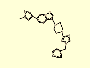 Cn1cc(-c2ccc3c(N4CCN(c5ncn(Cc6ccncc6)n5)CC4)cnn3c2)cn1